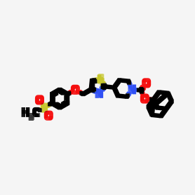 CS(=O)(=O)c1ccc(OCc2csc(C3CCN(C(=O)OC45CC6CC(CC(C6)C4)C5)CC3)n2)cc1